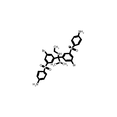 CCNC(c1cc(Br)cc(S(=O)(=O)c2ccc(N)cc2)c1)(c1cc(Br)cc(S(=O)(=O)c2ccc(N)cc2)c1)N(C)C